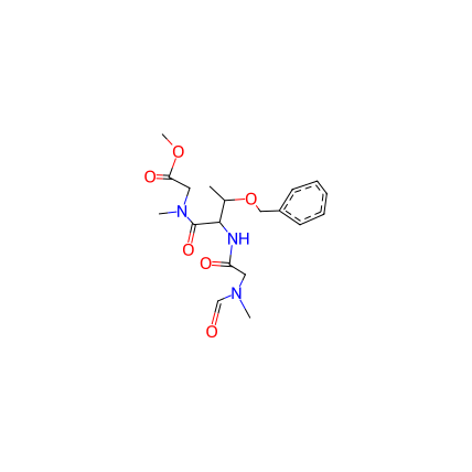 COC(=O)CN(C)C(=O)C(NC(=O)CN(C)C=O)C(C)OCc1ccccc1